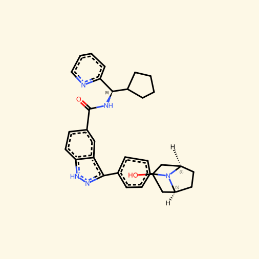 O=C(N[C@@H](c1ccccn1)C1CCCC1)c1ccc2[nH]nc(-c3ccc(N4[C@@H]5CC[C@H]4CC(O)C5)cc3)c2c1